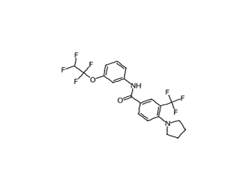 O=C(Nc1cccc(OC(F)(F)C(F)F)c1)c1ccc(N2CCCC2)c(C(F)(F)F)c1